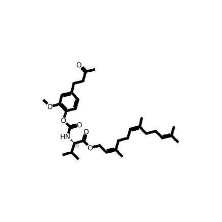 COc1cc(CCC(C)=O)ccc1OC(=O)N[C@H](C(=O)OCC=C(C)CCC=C(C)CCC=C(C)C)C(C)C